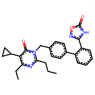 CCCc1nc(CC)c(C2CC2)c(=O)n1Cc1ccc(-c2ccccc2-c2noc(=O)[nH]2)cc1